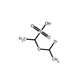 CC([O])OC(C)S(=O)(=O)O